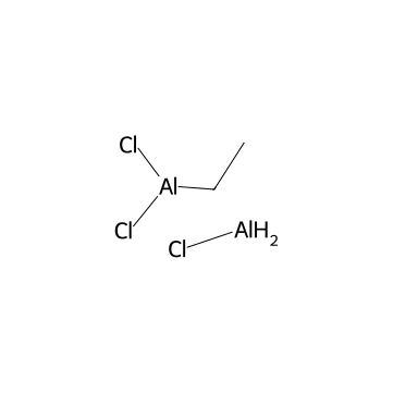 C[CH2][Al]([Cl])[Cl].[AlH2][Cl]